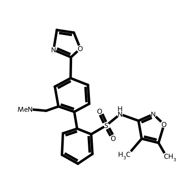 CNCc1cc(-c2ncco2)ccc1-c1ccccc1S(=O)(=O)Nc1noc(C)c1C